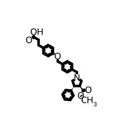 COC(=O)[C@@H]1CN(Cc2ccc(COc3ccc(CCC(=O)O)cc3)cc2)C[C@H]1c1ccccc1